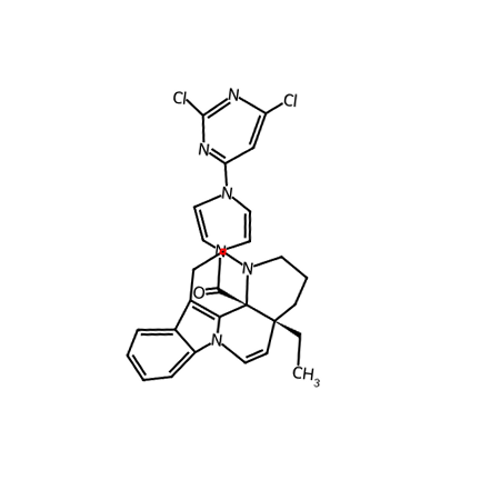 CC[C@]12C=Cn3c4c(c5ccccc53)CCN(CCC1)[C@@]42C(=O)N1C=CN(c2cc(Cl)nc(Cl)n2)C=C1